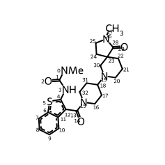 CNC(=O)Nc1sc2ccccc2c1C(=O)N1CCC(N2CCCC3(CCN(C)C3=O)C2)CC1